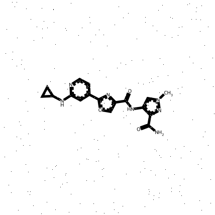 Cn1cc(NC(=O)c2coc(-c3ccnc(NC4CC4)c3)n2)c(C(N)=O)n1